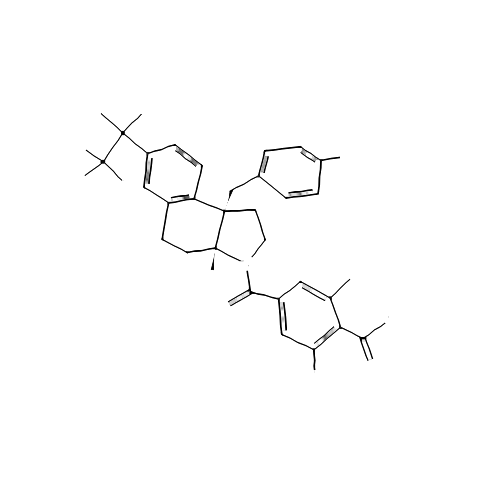 CC(F)(c1ccc2c(c1)CC[C@H]1N(C(=O)c3cc(F)c(C(N)=O)c(F)c3)CC[C@@]21Cc1ccc(F)cc1)C(F)(F)F